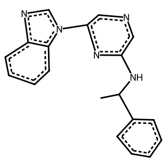 CC(Nc1cncc(-n2cnc3ccccc32)n1)c1ccccc1